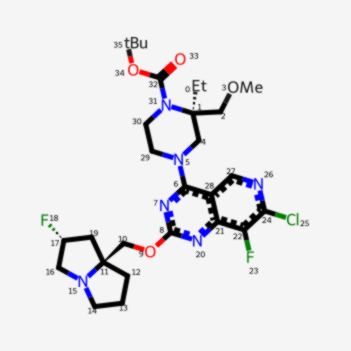 CC[C@]1(COC)CN(c2nc(OC[C@@]34CCCN3C[C@H](F)C4)nc3c(F)c(Cl)ncc23)CCN1C(=O)OC(C)(C)C